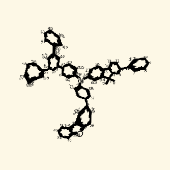 CC1(C)c2cc(-c3ccccc3)ccc2-c2ccc(N(C3=CCC(c4ccc5oc6ccccc6c5c4)C=C3)c3ccc(-c4cc(-c5ccccc5)cc(-c5ccccc5)c4)cc3)cc21